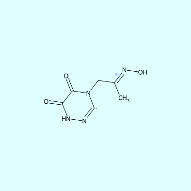 C/C(Cn1[c]n[nH]c(=O)c1=O)=N\O